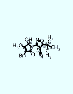 CC1=C(Br)C(=O)N(c2noc(C(C)(C)C)c2C#N)C1O